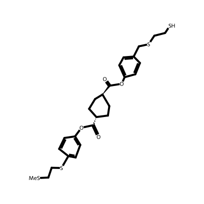 CSCCSc1ccc(OC(=O)[C@H]2CC[C@H](C(=O)Oc3ccc(CSCCS)cc3)CC2)cc1